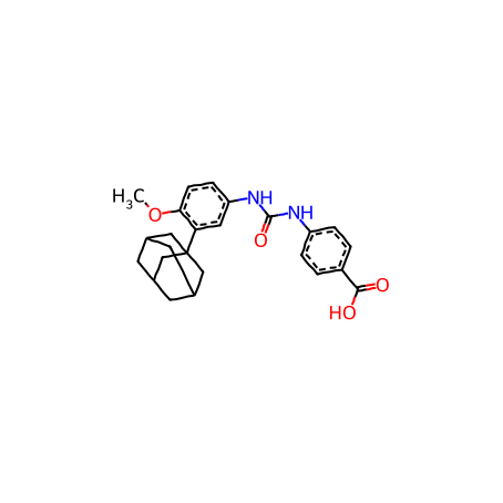 COc1ccc(NC(=O)Nc2ccc(C(=O)O)cc2)cc1C12CC3CC(CC(C3)C1)C2